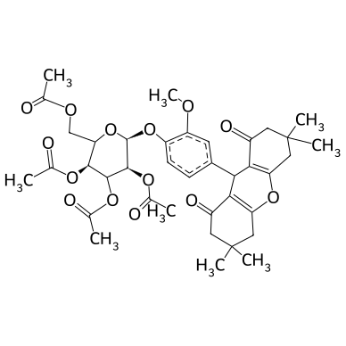 COc1cc(C2C3=C(CC(C)(C)CC3=O)OC3=C2C(=O)CC(C)(C)C3)ccc1O[C@@H]1OC(COC(C)=O)[C@H](OC(C)=O)C(OC(C)=O)[C@@H]1OC(C)=O